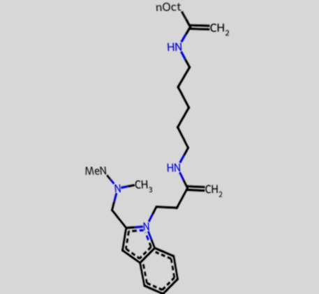 C=C(CCCCCCCC)NCCCCCNC(=C)CCn1c(CN(C)NC)cc2ccccc21